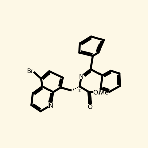 COC(=O)[C@H](Cc1ccc(Br)c2cccnc12)N=C(c1ccccc1)c1ccccc1